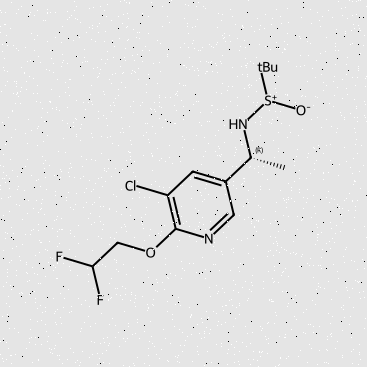 C[C@@H](N[S+]([O-])C(C)(C)C)c1cnc(OCC(F)F)c(Cl)c1